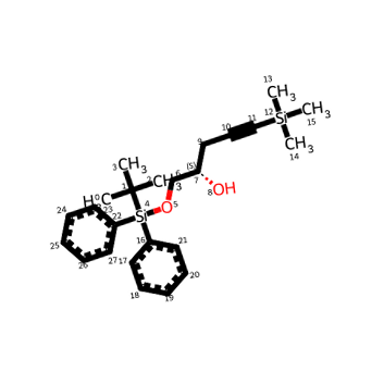 CC(C)(C)[Si](OC[C@@H](O)CC#C[Si](C)(C)C)(c1ccccc1)c1ccccc1